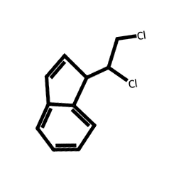 ClCC(Cl)C1C=Cc2ccccc21